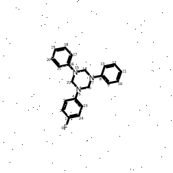 Fc1ccc(N2CN(c3ccccc3)CN(c3ccccc3)C2)cc1